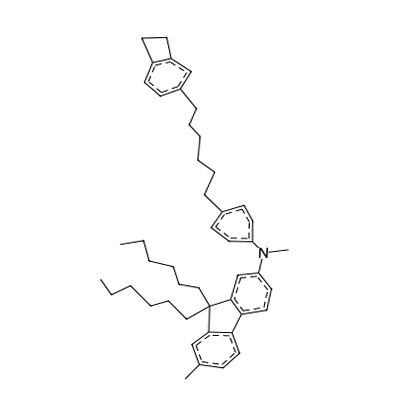 CCCCCCC1(CCCCCC)c2cc(C)ccc2-c2ccc(N(C)c3ccc(CCCCCCc4ccc5c(c4)CC5)cc3)cc21